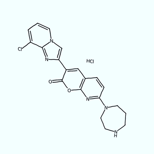 Cl.O=c1oc2nc(N3CCCNCC3)ccc2cc1-c1cn2cccc(Cl)c2n1